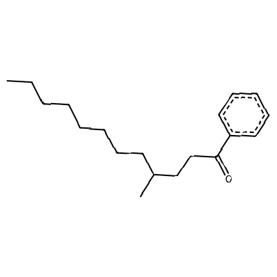 CCCCCCCCC(C)CCC(=O)c1ccccc1